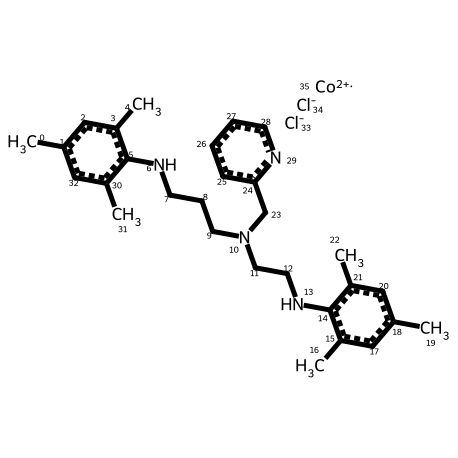 Cc1cc(C)c(NCCCN(CCNc2c(C)cc(C)cc2C)Cc2ccccn2)c(C)c1.[Cl-].[Cl-].[Co+2]